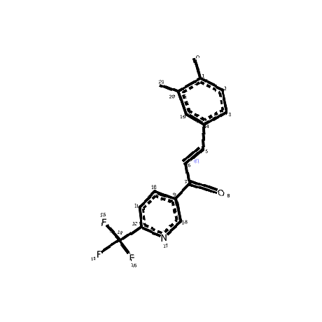 Cc1ccc(/C=C/C(=O)c2ccc(C(F)(F)F)nc2)cc1C